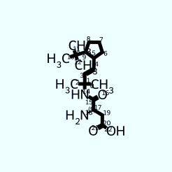 CC(C)(C=CC1CCCC1C(C)(C)C)NC(=O)[C@@H](N)CC(=O)O